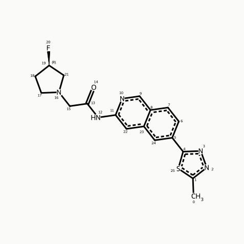 Cc1nnc(-c2ccc3cnc(NC(=O)CN4CC[C@@H](F)C4)cc3c2)s1